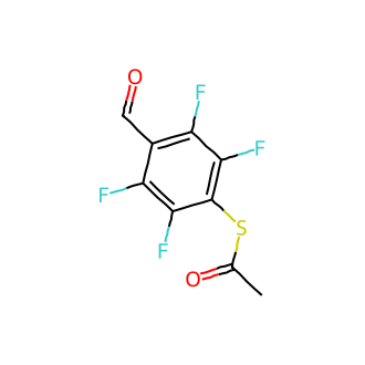 CC(=O)Sc1c(F)c(F)c(C=O)c(F)c1F